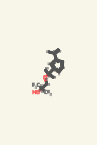 C=C(C)c1cccc(C(C)(C)OCC(O)(C(F)(F)F)C(F)(F)F)c1